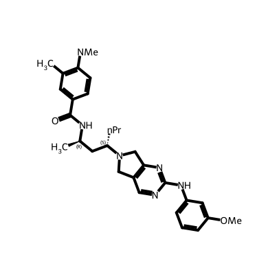 CCC[C@@H](C[C@@H](C)NC(=O)c1ccc(NC)c(C)c1)N1Cc2cnc(Nc3cccc(OC)c3)nc2C1